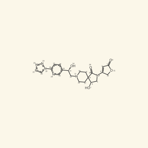 O=C1C=C(N2CC(O)C3(CCN(C[C@H](O)c4ccc(-n5cnnn5)nc4)CC3)C2=O)CO1